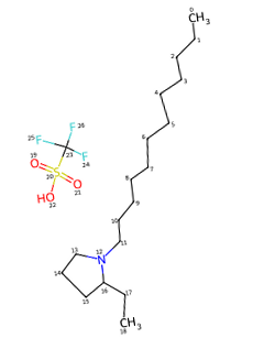 CCCCCCCCCCCCN1CCCC1CC.O=S(=O)(O)C(F)(F)F